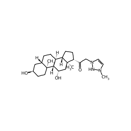 CN1C=CN(CC(=O)[C@H]2CC[C@H]3[C@@H]4CC[C@H]5C[C@H](O)CC[C@]5(C)[C@H]4[C@@H](O)C[C@]23C)N1